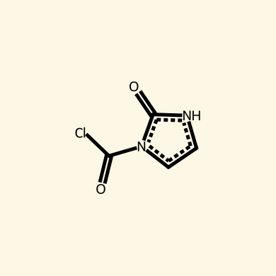 O=C(Cl)n1cc[nH]c1=O